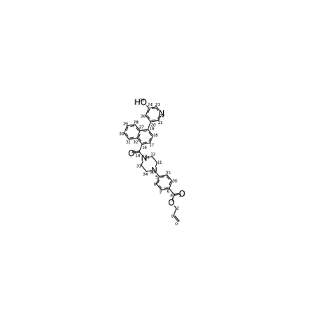 C=CCOC(=O)c1ccc(N2CCN(C(=O)c3ccc(-c4cncc(O)c4)c4ccccc34)CC2)cc1